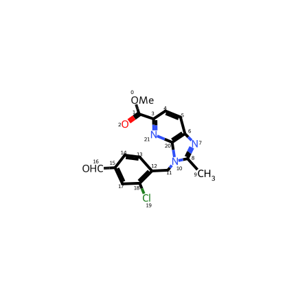 COC(=O)c1ccc2nc(C)n(Cc3ccc(C=O)cc3Cl)c2n1